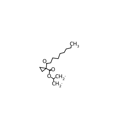 [CH2]C([CH2])OC(=O)C1(C(=O)CCCCCCCC)CC1